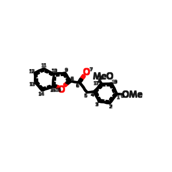 COc1ccc(CC(=O)c2cc3ccccc3o2)c(OC)c1